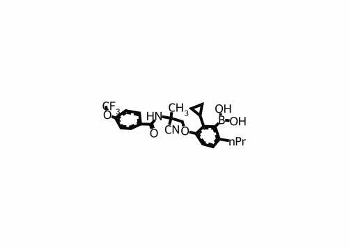 CCCc1ccc(OCC(C)(C#N)NC(=O)c2ccc(OC(F)(F)F)cc2)c(C2CC2)c1B(O)O